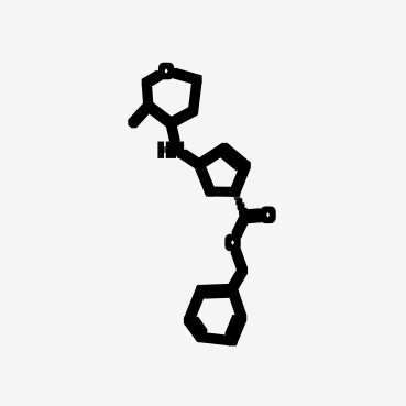 CC1COCCC1NC1C=C[C@H](C(=O)OCc2ccccc2)C1